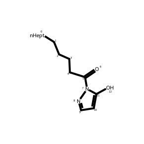 CCCCCCCCCCCC(=O)n1nccc1O